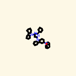 c1ccc(-c2nc(-n3c4ccccc4c4ccccc43)cc(-n3c4ccccc4c4cc(N5C6CC7CC(C6)CC5C7)ccc43)n2)cc1